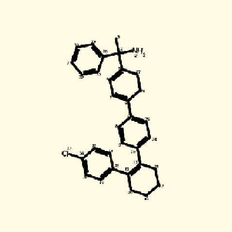 CC(N)(C1=CC=C(c2ccc(C3=C(c4ccc(Cl)cc4)CCCC3)cc2)CC1)c1ccccc1